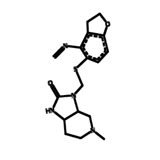 C=Nc1c(SCN2C(=O)NC3CCN(C)CC32)ccc2c1CCO2